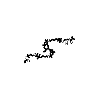 C=CC(=O)OC(C)(C)CCOC(C)(C)C(C)(C)CCCCOC(C)(C)CC1(C)CC(C2CCC(C)(CC(C)(C)OCCCCC(C)(C)C(C)(C)OCBOC(=O)C(=C)C)CC2C=C)C1